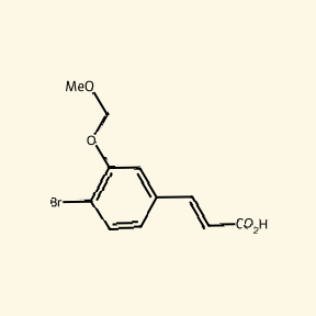 COCOc1cc(C=CC(=O)O)ccc1Br